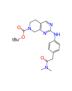 CN(C)C(=O)Cc1ccc(Nc2ncc3c(n2)CN(C(=O)OC(C)(C)C)CC3)cc1